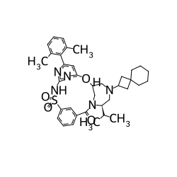 Cc1cccc(C)c1-c1cc2nc(n1)NS(=O)(=O)c1cccc(c1)C(=O)N1C[C@@H](CN(C3CC4(CCCCC4)C3)C[C@H]1C(C)C)O2